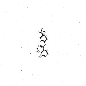 COc1c(N(O)Cc2ccc(C(C)(C)C)cc2)ccnc1C